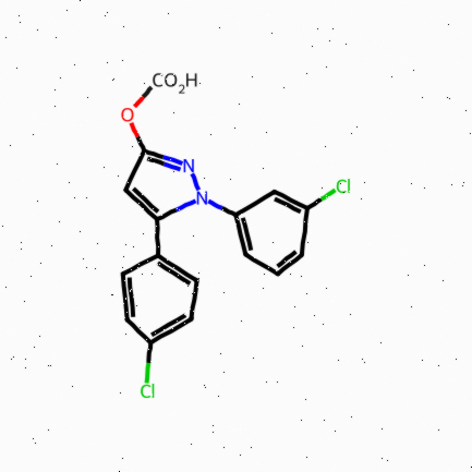 O=C(O)Oc1cc(-c2ccc(Cl)cc2)n(-c2cccc(Cl)c2)n1